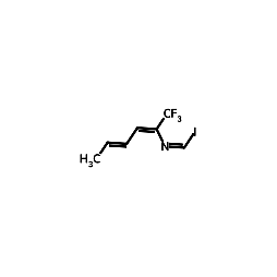 C/C=C/C=C(\N=C/I)C(F)(F)F